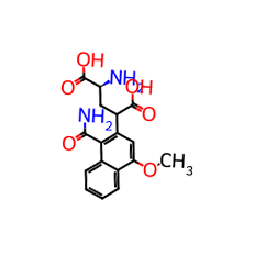 COc1cc(C(C[C@H](N)C(=O)O)C(=O)O)c(C(N)=O)c2ccccc12